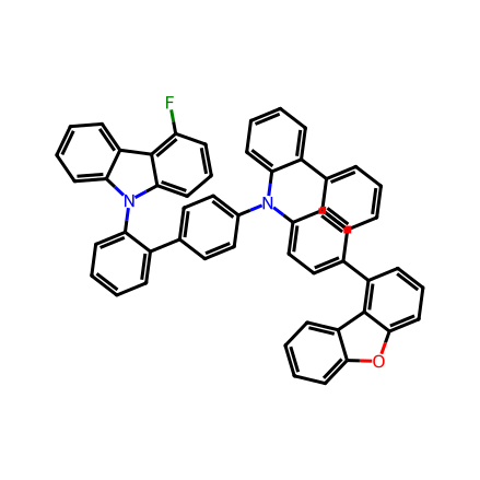 Fc1cccc2c1c1ccccc1n2-c1ccccc1-c1ccc(N(c2ccc(-c3cccc4oc5ccccc5c34)cc2)c2ccccc2-c2ccccc2)cc1